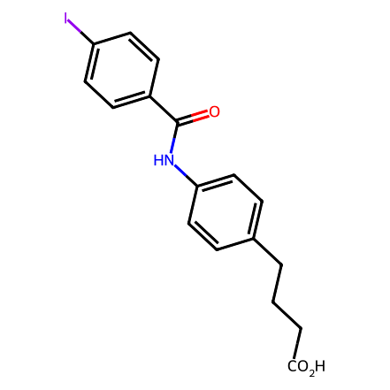 O=C(O)CCCc1ccc(NC(=O)c2ccc(I)cc2)cc1